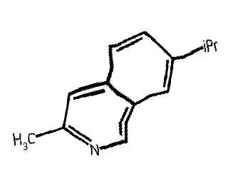 Cc1cc2ccc(C(C)C)cc2cn1